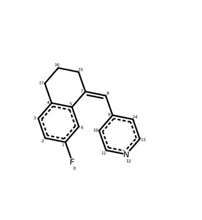 Fc1ccc2c(c1)/C(=C\c1ccncc1)CCC2